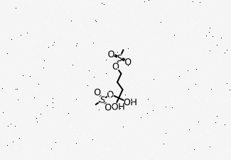 CS(=O)(=O)OCCCC(O)(O)OS(C)(=O)=O